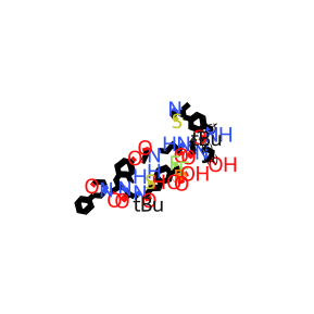 Cc1ncsc1-c1ccc([C@H](C)NC(=O)[C@@H]2C[C@@H](O)CN2C(=O)C(NC(=O)CCCNC(=O)COc2ccc3c(c2)CN(C(=O)C(NC(=O)c2cc4cc(C(F)(F)P(=O)(O)O)ccc4s2)C(C)(C)C)C(C(=O)N2CCOC(c4ccccc4)C2)C3)C(C)(C)C)cc1